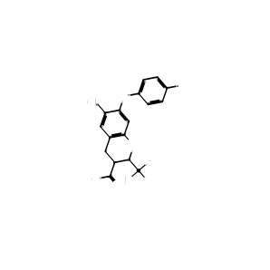 O=C(O)C1Cc2cc(Cl)c(Oc3ccc(Cl)cc3)cc2OC1C(F)(F)F